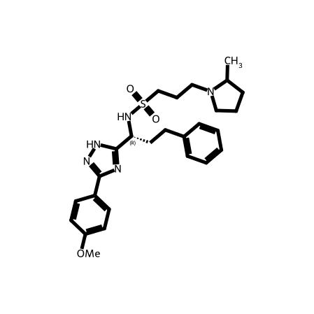 COc1ccc(-c2n[nH]c([C@@H](CCc3ccccc3)NS(=O)(=O)CCCN3CCCC3C)n2)cc1